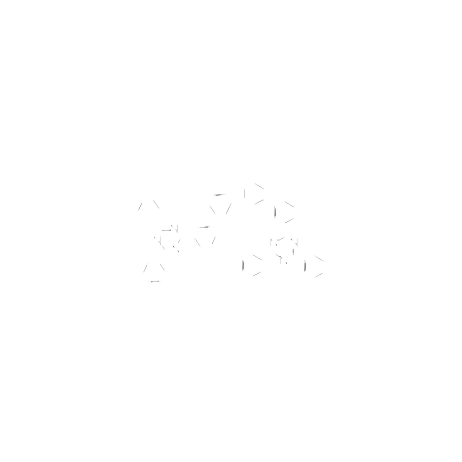 Cc1ccccc1-c1nc(-c2ccccc2)nc(-c2cccc(-c3ccc4sc5ccc(-c6cccc(-c7nc(-c8ccccc8C)nc(C8C=CC=CC8)n7)c6)cc5c4c3)c2)n1